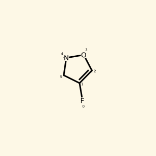 FC1=[C]O[N]C1